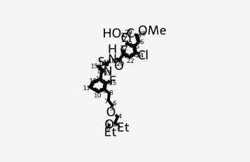 CCOC(CC)COCCCc1cccc(-c2csc(NC(=O)c3cc(Cl)c(C=C(OC)C(=O)O)c(Cl)c3)n2)c1F